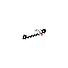 O=C(O)c1ccccc1C(=O)OCCCCCCCCCc1ccccc1